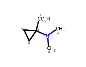 CN(C)C1(C(=O)O)CC1